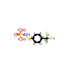 O=P(O)(O)NSc1ccc(C(F)(F)F)cc1